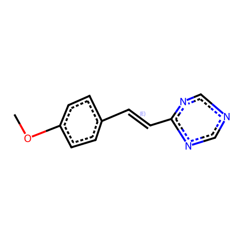 COc1ccc(/C=C/c2ncncn2)cc1